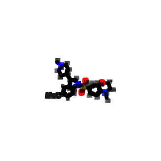 COc1ccc2c(c1)c(C1=CCN(C)CC1)cn2S(=O)(=O)c1ccc2c(c1)OCCN2C